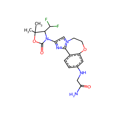 CC1(C)OC(=O)N(c2cn3c(n2)-c2ccc(NCC(N)=O)cc2OCC3)C1C(F)F